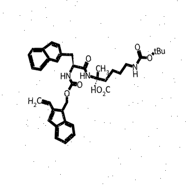 C=CC1=Cc2ccccc2C1COC(=O)N[C@@H](Cc1ccc2ccccc2c1)C(=O)N[C@@](C)(CCCCNC(=O)OC(C)(C)C)C(=O)O